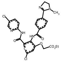 CCOC(=O)COc1cc(Cl)cc(C(=O)Nc2ccc(Cl)cn2)c1NC(=O)c1ccc(C2=NCCN2C)cc1